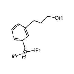 CC(C)[SiH](c1cccc(CCCO)c1)C(C)C